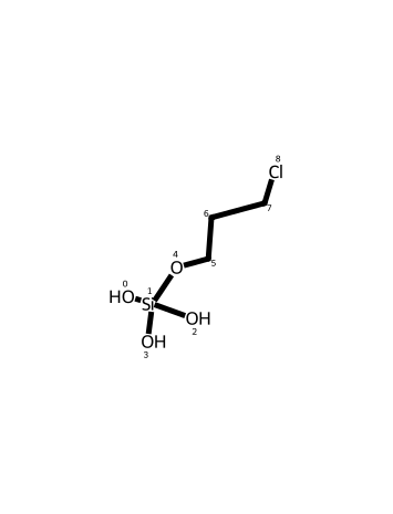 O[Si](O)(O)OCCCCl